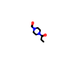 CCC(=O)N1CCN(C=O)CC1